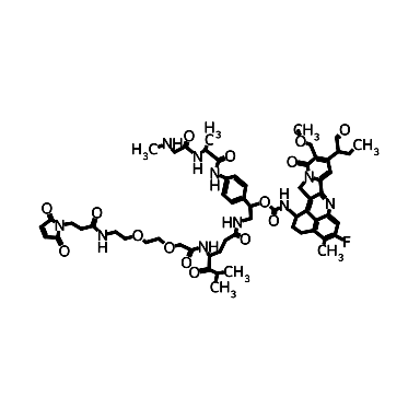 CCC(C=O)c1cc2n(c(=O)c1COC)Cc1c-2nc2cc(F)c(C)c3c2c1C(NC(=O)OC(CNC(=O)CCC(NC(=O)COCCOCCNC(=O)CCN1C(=O)C=CC1=O)C(=O)C(C)C)c1ccc(NC(=O)C(C)NC(=O)CNC)cc1)CC3